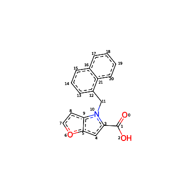 O=C(O)c1cc2occc2n1Cc1cccc2ccccc12